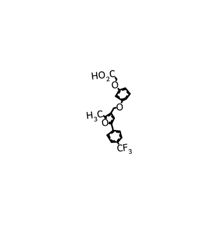 Cc1oc(-c2ccc(C(F)(F)F)cc2)cc1COc1cccc(OCC(=O)O)c1